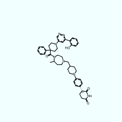 CC1CCN(CC2CCN(c3ccc([C@H]4CCC(=O)NC4=O)cc3)CC2)CCN1C(=O)C1(c2ccccc2)CCN(c2cnnc(-c3ccccc3O)c2)CC1